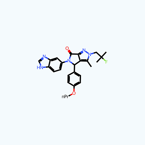 CCCOc1ccc(C2c3c(nn(CC(C)(C)F)c3C)C(=O)N2c2ccc3[nH]cnc3c2)cc1